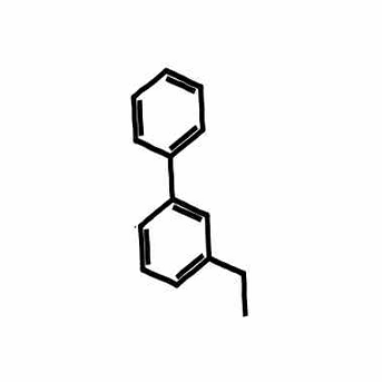 CCc1cc[c]c(-c2ccccc2)c1